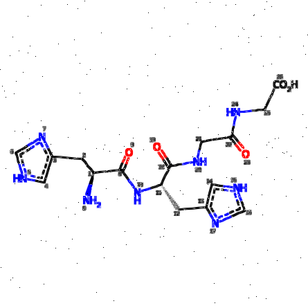 N[C@@H](Cc1c[nH]cn1)C(=O)N[C@@H](Cc1c[nH]cn1)C(=O)NCC(=O)NCC(=O)O